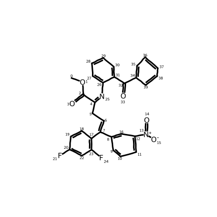 COC(=O)C(CC=C(c1cccc([N+](=O)[O-])c1)c1ccc(F)cc1F)=Nc1ccccc1C(=O)c1ccccc1